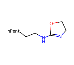 CCCCCCCNC1=NCCO1